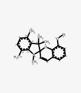 CCOc1cccc2c1OC1(C=C2)N(C)c2c(C)ccc(C)c2C1(C)C